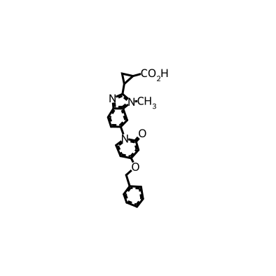 Cn1c(C2CC2C(=O)O)nc2ccc(-n3ccc(OCc4ccccc4)cc3=O)cc21